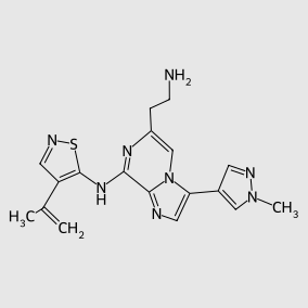 C=C(C)c1cnsc1Nc1nc(CCN)cn2c(-c3cnn(C)c3)cnc12